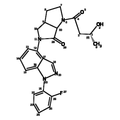 C[C@@H](O)CC(=O)N1CCC2CN(c3cccc4c3cnn4-c3ccccc3F)C(=O)C21